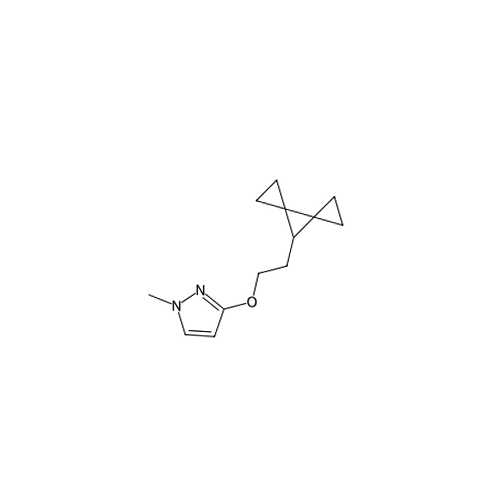 Cn1ccc(OCCC2C3(CC3)C23CC3)n1